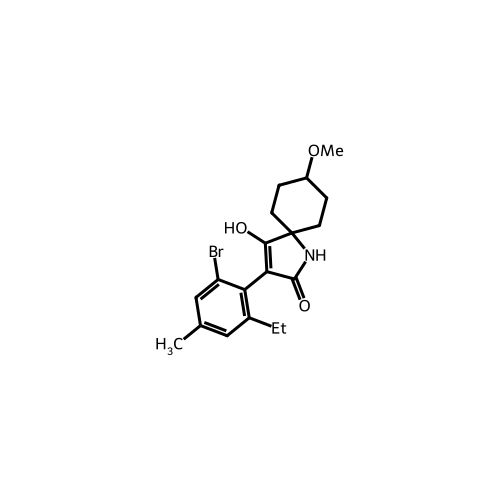 CCc1cc(C)cc(Br)c1C1=C(O)C2(CCC(OC)CC2)NC1=O